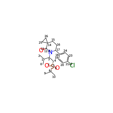 CC(C)C(CS(=O)(=O)C(C)C)N1C(=O)C2(CCC1c1ccc(Cl)cc1)CC2